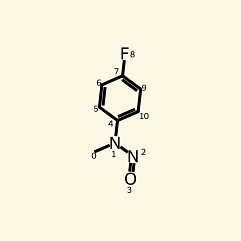 CN(N=O)c1ccc(F)cc1